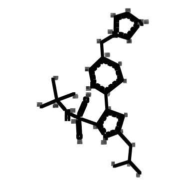 CC(C)Cc1cc(-c2ccc(Cn3ccnc3)cn2)c(S(=O)(=O)NC(C)(C)C)s1